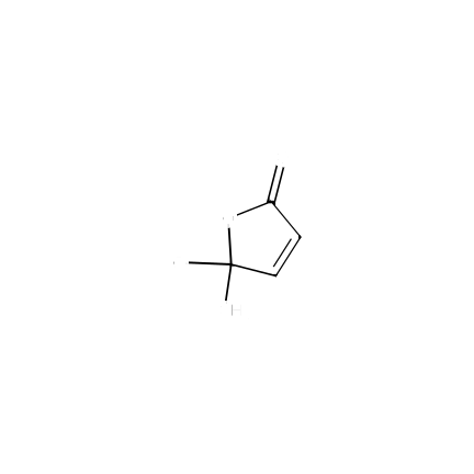 CC1(Cl)C=CC(=O)O1